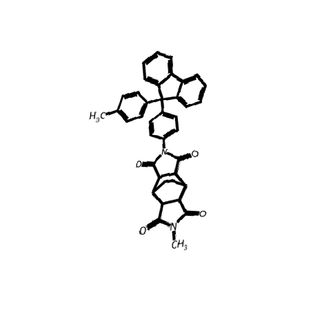 Cc1ccc(C2(c3ccc(N4C(=O)C5C6CCC(C7C(=O)N(C)C(=O)C67)C5C4=O)cc3)c3ccccc3-c3ccccc32)cc1